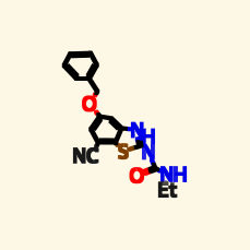 CCNC(=O)Nc1nc2cc(OCc3ccccc3)cc(C#N)c2s1